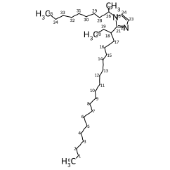 CCCCCCCCCCCCCCCCCCC(CC)c1nccn1C(C)CCCCCCCC